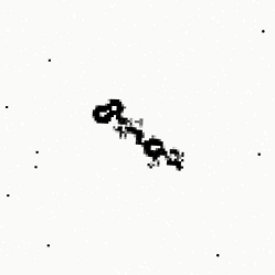 COc1cc(/C=C/C2=NOC(c3cccc4ccccc34)N2)ccc1-n1cnc(C)c1